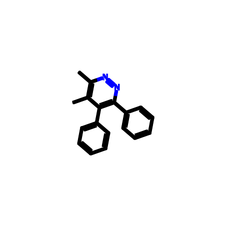 Cc1nnc(-c2ccccc2)c(-c2ccccc2)c1C